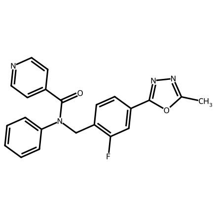 Cc1nnc(-c2ccc(CN(C(=O)c3ccncc3)c3ccccc3)c(F)c2)o1